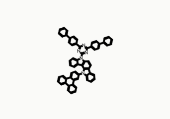 c1ccc(-c2ccc(-c3nc(-c4ccc(-c5ccccc5)cc4)nc(-n4c5ccccc5c5c4ccc4c6ccccc6n(-c6ccc7c8ccccc8c8ccccc8c7c6)c45)n3)cc2)cc1